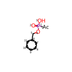 CC(=O)P(=O)(O)OCc1ccccc1